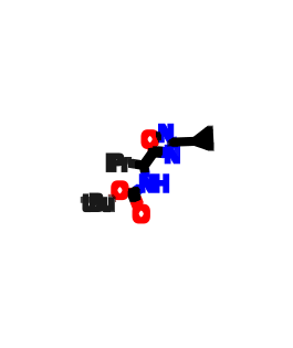 CC(C)C(NC(=O)OC(C)(C)C)c1nc(C2CC2)no1